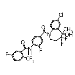 C[C@@]1(O)c2cc(Cl)ccc2N(C(=O)c2ccc(NC(=O)c3cc(F)ccc3C(F)(F)F)c(F)c2)CCC1(F)F